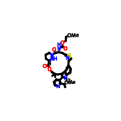 CCn1c(-c2cccnc2[C@H](C)OC)c2c3cc(ccc31)C1CSC(=N1)C[C@H](NC(=O)OCCOC)C(=O)N1CCC[C@H](N1)C(=O)OCC(C)(C)C2